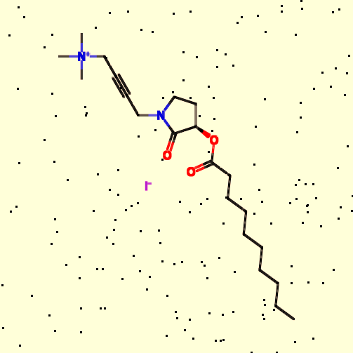 CCCCCCCCCC(=O)O[C@@H]1CCN(CC#CC[N+](C)(C)C)C1=O.[I-]